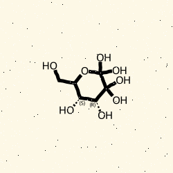 OCC1OC(O)(O)C(O)(O)[C@H](O)[C@@H]1O